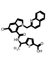 CC(NC(=O)c1cc(Cl)cc2ccn(Cc3ccc4ccccc4n3)c12)c1ccc(C(=O)O)s1